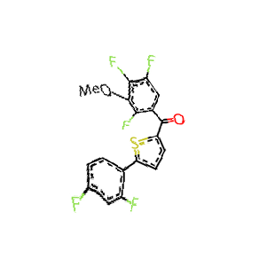 COc1c(F)c(F)cc(C(=O)c2ccc(-c3ccc(F)cc3F)s2)c1F